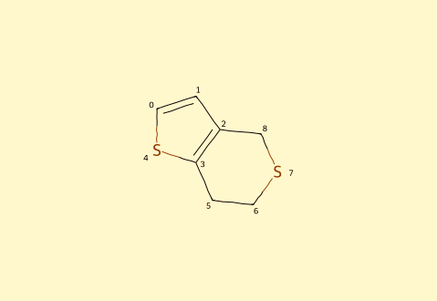 c1cc2c(s1)CCSC2